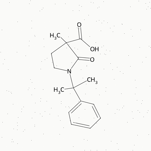 CC1(C(=O)O)CCN(C(C)(C)c2ccccc2)C1=O